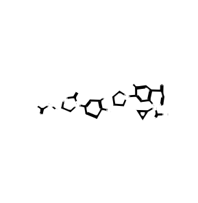 CC(=O)NC[C@H]1CN(c2ccc(N[C@@H]3CCN(c4cc5c(cc4F)C(=O)C=C[N+]5(C(=O)O)C4CC4)C3)c(F)c2)C(=O)O1